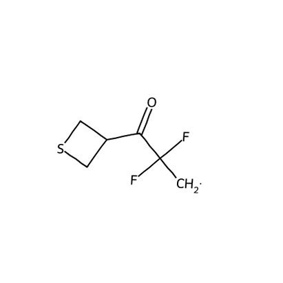 [CH2]C(F)(F)C(=O)C1CSC1